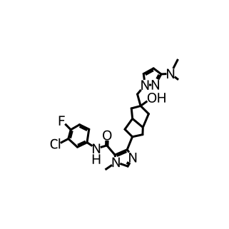 CN(C)c1ccn(CC2(O)CC3CC(c4ncn(C)c4C(=O)Nc4ccc(F)c(Cl)c4)CC3C2)n1